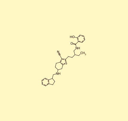 CCC(CCc1sc2c(c1C#N)CCC(NCC1CCc3ccccc31)C2)CNC(=O)c1ccccc1O